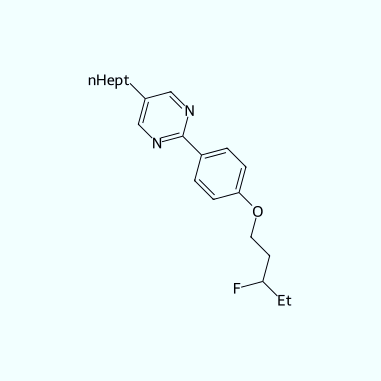 CCCCCCCc1cnc(-c2ccc(OCCC(F)CC)cc2)nc1